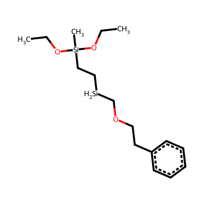 CCO[Si](C)(CC[SiH2]COCCc1ccccc1)OCC